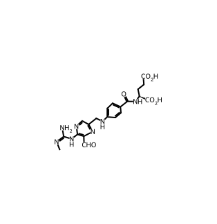 C/N=C(/N)Nc1ncc(CNc2ccc(C(=O)N[C@@H](CCC(=O)O)C(=O)O)cc2)nc1C=O